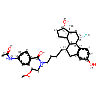 COCCN(CCCC[C@@H]1Cc2cc(O)ccc2C2C1C1CC[C@H](O)[C@@]1(C)C[C@@H]2F)C(=O)c1ccc(NC(C)=O)cc1